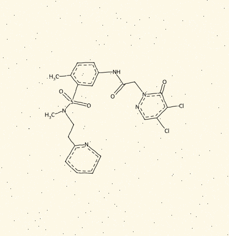 Cc1ccc(NC(=O)Cn2ncc(Cl)c(Cl)c2=O)cc1S(=O)(=O)N(C)CCc1ccccn1